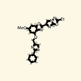 CCc1nn2cc(-c3nc4c(OCc5csc(-c6ccccc6)n5)cc(OC)cc4o3)nc2o1